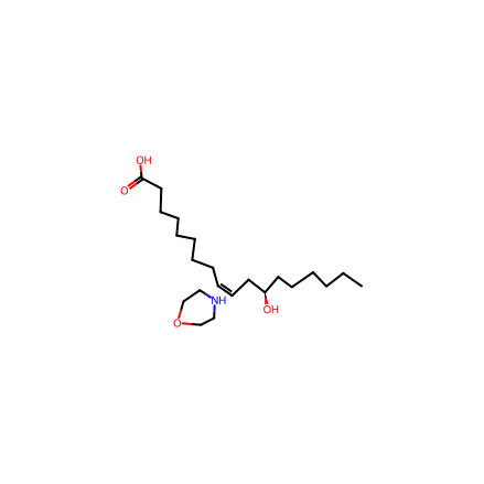 C1COCCN1.CCCCCC[C@@H](O)C/C=C\CCCCCCCC(=O)O